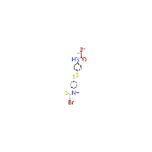 CC(C)(Br)C(=O)Nc1ccc(SSc2ccc(NC(=S)C(C)(C)Br)cc2)cc1